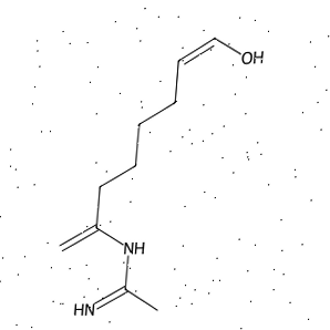 C=C(CCCC/C=C\O)NC(C)=N